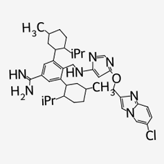 CC1CCC(C(C)C)C(c2cc(C(=N)N)cc(C3CC(C)CCC3C(C)C)c2CNc2cc(OCc3cn4cc(Cl)ccc4n3)ncn2)C1